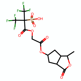 CC1OC(=O)C2CC(OC(=O)COC(=O)C(C(F)(F)F)(C(F)(F)F)S(=O)(=O)O)CC12